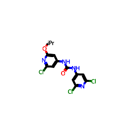 CC(C)Oc1cc(NC(=O)Nc2cc(Cl)nc(Cl)c2)cc(Cl)n1